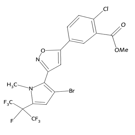 COC(=O)c1cc(-c2cc(-c3c(Br)cc(C(F)(C(F)(F)F)C(F)(F)F)n3C)no2)ccc1Cl